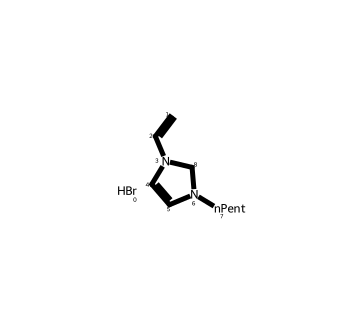 Br.C=CN1C=CN(CCCCC)C1